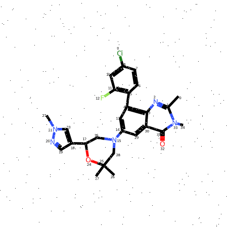 Cc1nc2c(-c3ccc(Cl)cc3F)cc(N3CC(c4cnn(C)c4)OC(C)(C)C3)cc2c(=O)n1C